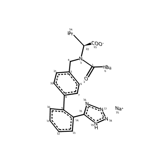 CCCCC(=O)N(Cc1ccc(-c2ccccc2-c2nnn[nH]2)cc1)[C@H](C(=O)[O-])C(C)C.[Na+]